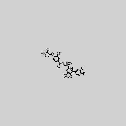 COc1cc(C(=O)NCC2(c3cc4c(c(-c5ccc(F)c(Cl)c5)n3)OCC4(C)C)CO2)ccc1OC1CCNC1=O